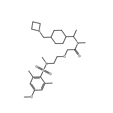 COc1cc(C)c(S(=O)(=O)N(C)CCOCC(=O)N(C)C(C)C2CCC(CN3CCC3)CC2)c(C)c1